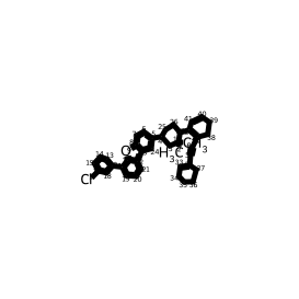 CC1(C)CC(c2ccc3oc4c(-c5cccc(Cl)c5)cccc4c3c2)CCC1C1=C(C#CC2=CCCCC2)CCC=C1